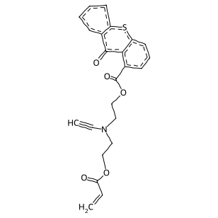 C#CN(CCOC(=O)C=C)CCOC(=O)c1cccc2sc3ccccc3c(=O)c12